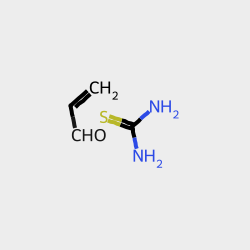 C=CC=O.NC(N)=S